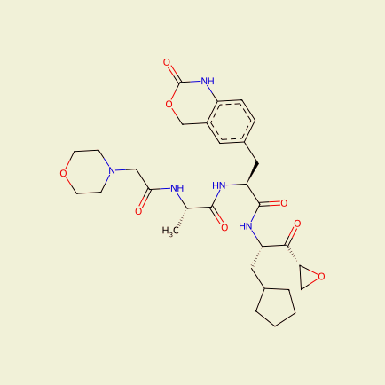 C[C@H](NC(=O)CN1CCOCC1)C(=O)N[C@@H](Cc1ccc2c(c1)COC(=O)N2)C(=O)N[C@@H](CC1CCCC1)C(=O)[C@H]1CO1